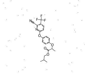 CC(C)COC(=O)C(C)Oc1ccc(Oc2ccc(C(F)(F)F)c(C#N)n2)cc1